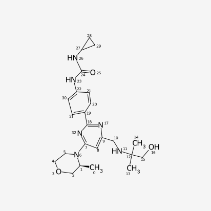 C[C@H]1COCCN1c1cc(CNC(C)(C)CO)nc(-c2ccc(NC(=O)NC3CC3)cc2)n1